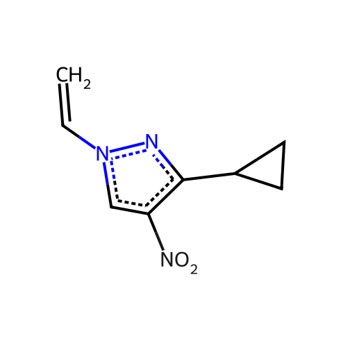 C=Cn1cc([N+](=O)[O-])c(C2CC2)n1